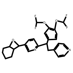 FC(F)Oc1ccc(C(Cc2ccncc2)c2ccc(C3OC4CCCCC43)cn2)cc1OC(F)F